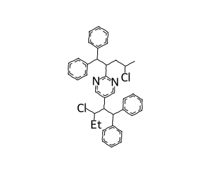 CCC(Cl)C(c1cnc(C(CC(C)Cl)C(c2ccccc2)c2ccccc2)nc1)C(c1ccccc1)c1ccccc1